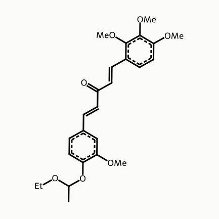 CCOC(C)Oc1ccc(C=CC(=O)C=Cc2ccc(OC)c(OC)c2OC)cc1OC